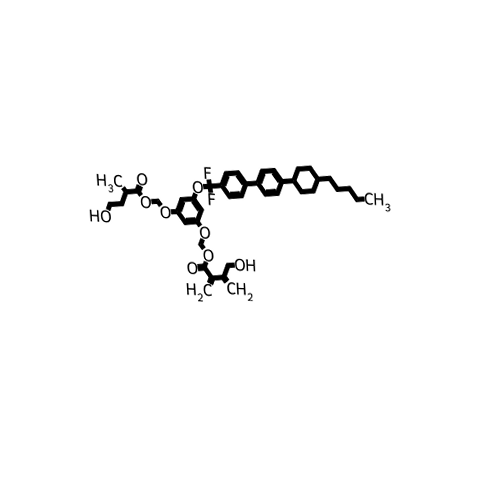 C=C(CO)C(=C)C(=O)OCOc1cc(OCOC(=O)C(C)CCO)cc(OC(F)(F)c2ccc(-c3ccc(C4CCC(CCCCC)CC4)cc3)cc2)c1